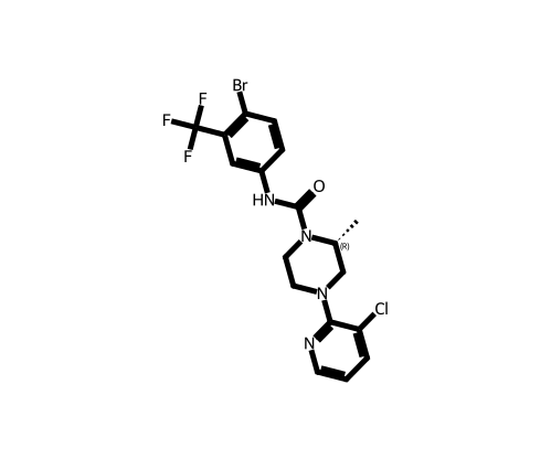 C[C@@H]1CN(c2ncccc2Cl)CCN1C(=O)Nc1ccc(Br)c(C(F)(F)F)c1